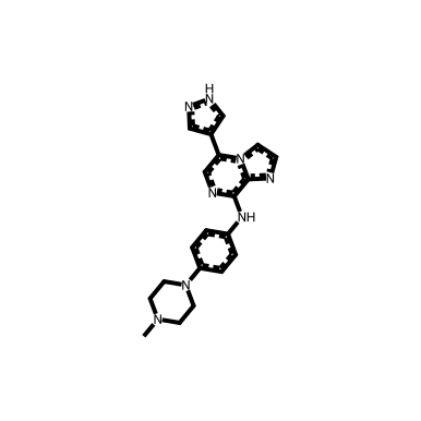 CN1CCN(c2ccc(Nc3ncc(-c4cn[nH]c4)n4ccnc34)cc2)CC1